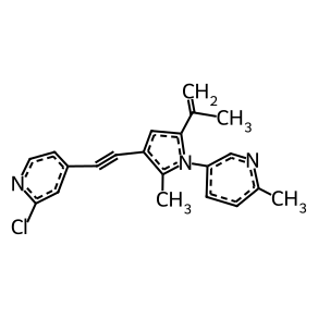 C=C(C)c1cc(C#Cc2ccnc(Cl)c2)c(C)n1-c1ccc(C)nc1